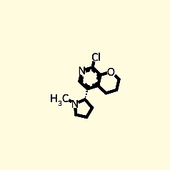 CN1CCC[C@H]1c1cnc(Cl)c2c1CCCO2